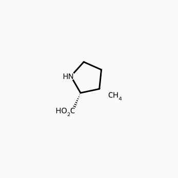 C.O=C(O)[C@H]1CCCN1